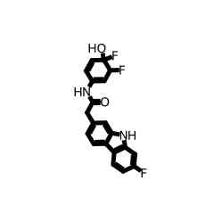 O=C(Cc1ccc2c(c1)[nH]c1cc(F)ccc12)NC1=CC(F)C(O)(F)C=C1